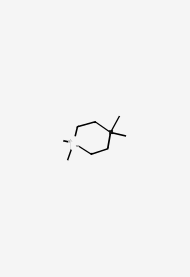 CC1(C)CC[N+](C)(C)CC1